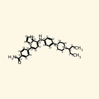 CCC(CC)N1CCN(c2ccc(Nc3ccc(-c4ccc(C(N)=O)cc4)n4ccnc34)cc2)CC1